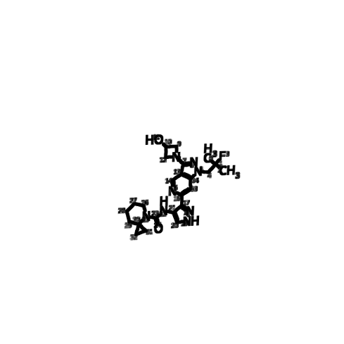 CC(C)(F)Cn1nc(N2CC(O)C2)c2cnc(-c3n[nH]cc3NC(=O)N3CCCCC34CC4)cc21